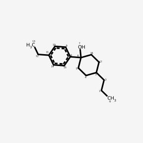 CCCC1CCC(O)(c2ccc(CC)cc2)CC1